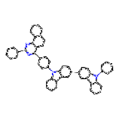 c1ccc(-c2nc(-c3ccc(-n4c5ccccc5c5cc(-c6ccc7c(c6)c6ccccc6n7-c6ccccc6)ccc54)cc3)c3ccc4ccccc4c3n2)cc1